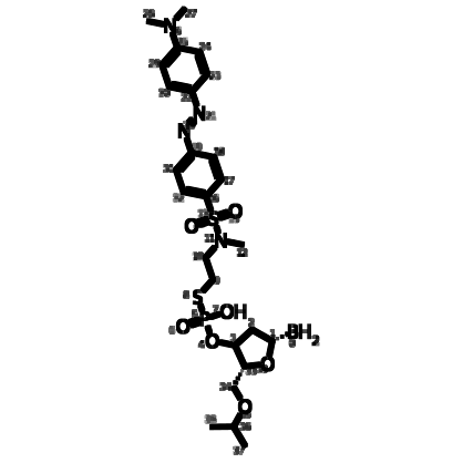 B[C@H]1CC(OP(=O)(O)SCCN(C)S(=O)(=O)c2ccc(/N=N/c3ccc(N(C)C)cc3)cc2)[C@@H](COC(C)C)O1